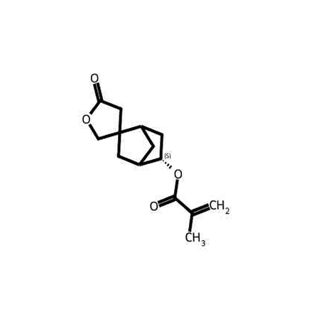 C=C(C)C(=O)O[C@H]1CC2CC1CC21COC(=O)C1